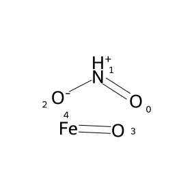 O=[NH+][O-].[O]=[Fe]